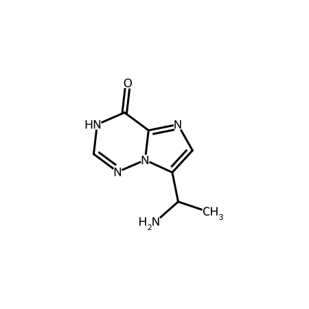 CC(N)c1cnc2c(=O)[nH]cnn12